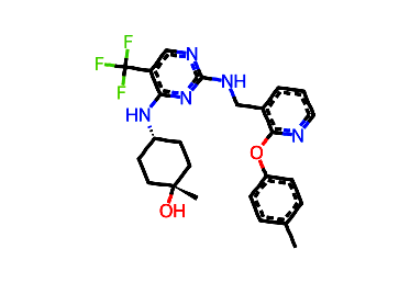 Cc1ccc(Oc2ncccc2CNc2ncc(C(F)(F)F)c(N[C@H]3CC[C@@](C)(O)CC3)n2)cc1